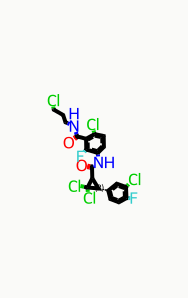 O=C(NCCCCl)c1c(Cl)ccc(NC(=O)C2[C@H](c3ccc(F)c(Cl)c3)C2(Cl)Cl)c1F